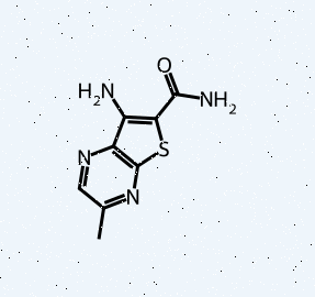 Cc1cnc2c(N)c(C(N)=O)sc2n1